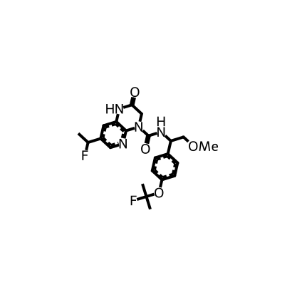 COCC(NC(=O)N1CC(=O)Nc2cc(C(C)F)cnc21)c1ccc(OC(C)(C)F)cc1